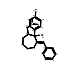 CN(C)CC1CCCCC(=Cc2ccccc2)C1(O)c1ccc(Cl)cc1